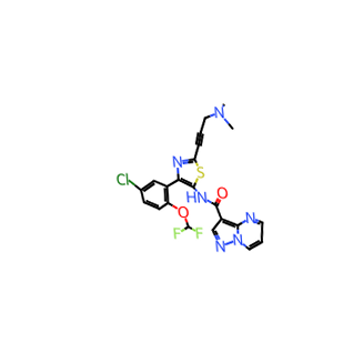 CN(C)CC#Cc1nc(-c2cc(Cl)ccc2OC(F)F)c(NC(=O)c2cnn3cccnc23)s1